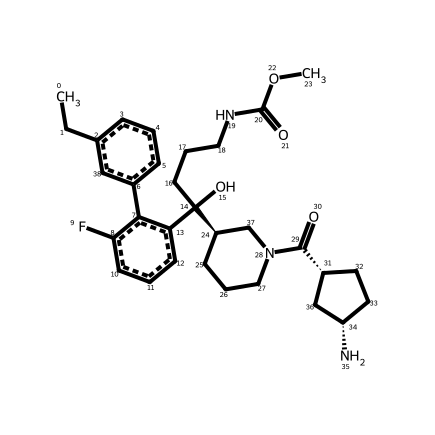 CCc1cccc(-c2c(F)cccc2C(O)(CCCNC(=O)OC)[C@@H]2CCCN(C(=O)[C@@H]3CC[C@H](N)C3)C2)c1